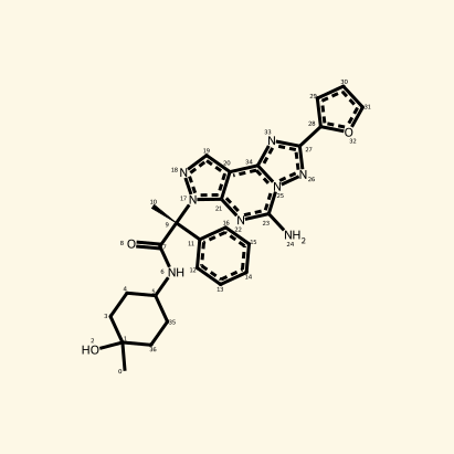 CC1(O)CCC(NC(=O)[C@@](C)(c2ccccc2)n2ncc3c2nc(N)n2nc(-c4ccco4)nc32)CC1